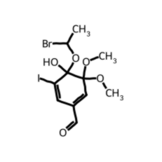 COC1(OC)C=C(C=O)C=C(I)C1(O)OC(C)Br